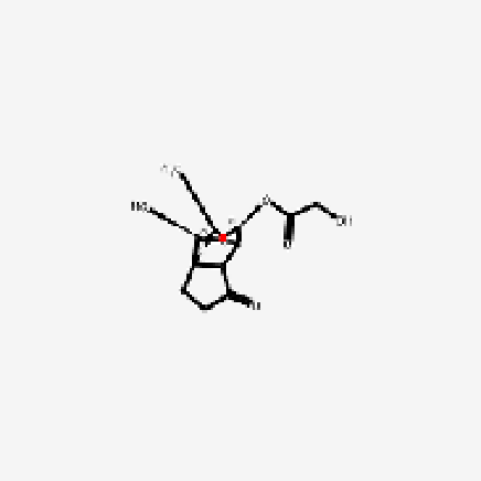 CC1C[C@@H](OC(=O)CO)C2CCCC3(CCC(=O)C23)C[C@@H]1O